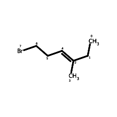 CCC(C)=CCCBr